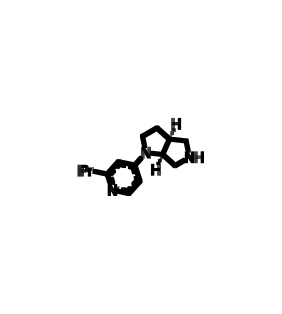 CC(C)c1cc(N2CC[C@H]3CNC[C@H]32)ccn1